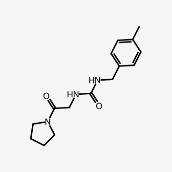 Cc1ccc(CNC(=O)NCC(=O)N2CCCC2)cc1